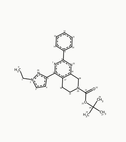 CCn1ccc(-c2nc(-c3ccccc3)nc3c2CCN(C(=O)OC(C)(C)C)C3)n1